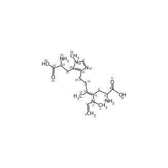 C=CN(C)/C(CC(N)C(=O)O)=C(\C)SSc1ncn(C)c1CC(N)C(=O)O